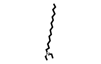 CCCCCCCCCCCCCCCN(CC)CC